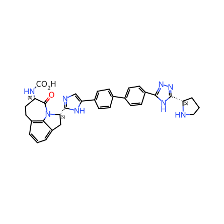 O=C(O)N[C@H]1CCc2cccc3c2N(C1=O)[C@H](c1ncc(-c2ccc(-c4ccc(-c5nnc([C@@H]6CCCN6)[nH]5)cc4)cc2)[nH]1)C3